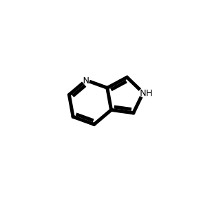 c1cnc2c[nH]cc2c1